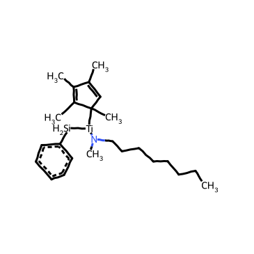 CCCCCCCC[N](C)[Ti]([SiH2]c1ccccc1)[C]1(C)C=C(C)C(C)=C1C